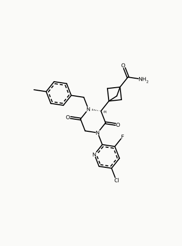 Cc1ccc(CN2C(=O)CN(c3ncc(Cl)cc3F)C(=O)[C@H]2C23CC(C(N)=O)(C2)C3)cc1